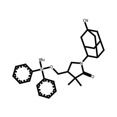 CC1(C)C(=O)N(C2C3CC4CC2CC(C#N)(C4)C3)CC1CO[Si](c1ccccc1)(c1ccccc1)C(C)(C)C